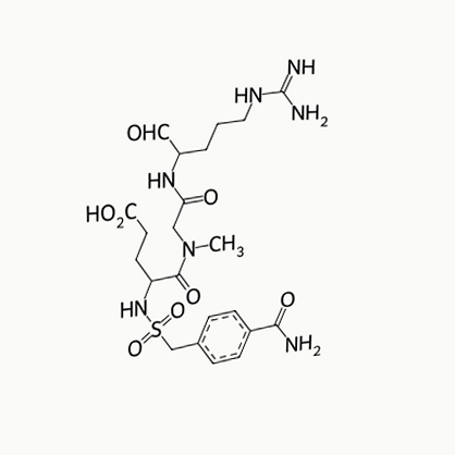 CN(CC(=O)NC(C=O)CCCNC(=N)N)C(=O)C(CCC(=O)O)NS(=O)(=O)Cc1ccc(C(N)=O)cc1